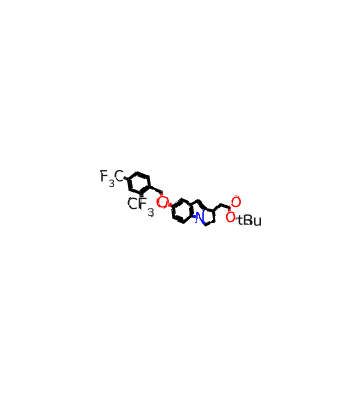 CC(C)(C)OC(=O)CC1CCn2c1cc1cc(OCc3ccc(C(F)(F)F)cc3C(F)(F)F)ccc12